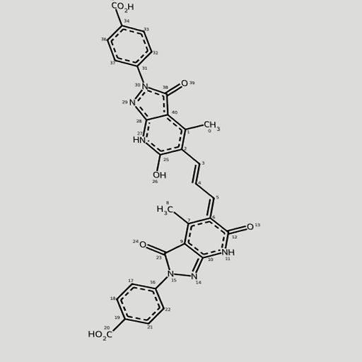 Cc1c(C=C/C=c2\c(C)c3c([nH]c2=O)=NN(c2ccc(C(=O)O)cc2)C3=O)c(O)[nH]c2nn(-c3ccc(C(=O)O)cc3)c(=O)c1-2